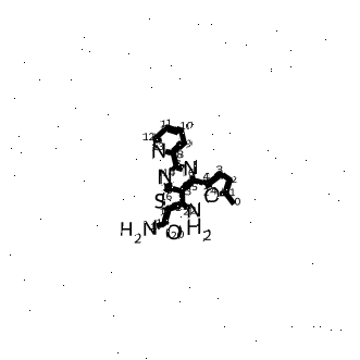 Cc1ccc(-c2nc(-c3ccccn3)nc3sc(C(N)=O)c(N)c23)o1